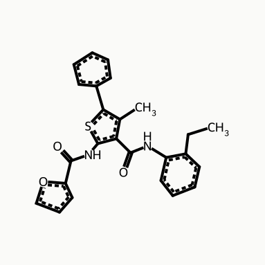 CCc1ccccc1NC(=O)c1c(NC(=O)c2ccco2)sc(-c2ccccc2)c1C